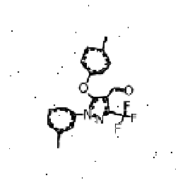 Cc1ccc(Oc2c(C=O)c(C(F)(F)F)nn2-c2cccc(C)c2)cc1